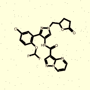 O=C1CCC(Cn2cc(NC(=O)c3cnn4cccnc34)c(-c3cc(Cl)ccc3OC(F)F)n2)O1